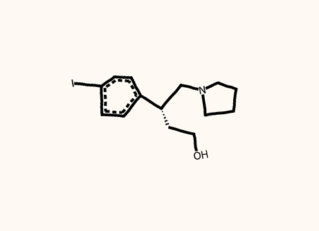 OCC[C@@H](CN1CCCC1)c1ccc(I)cc1